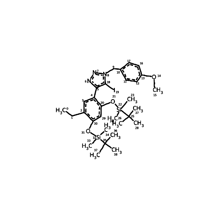 CCc1cc(-c2nnn(Cc3ccc(OC)cc3)c2I)c(O[Si](C)(C)C(C)(C)C)cc1O[Si](C)(C)C(C)(C)C